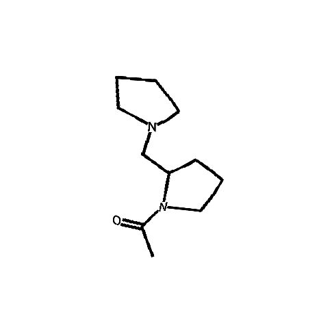 CC(=O)N1CCCC1CN1CCCC1